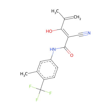 C=C(C)C(O)=C(C#N)C(=O)Nc1ccc(C(F)(F)F)c(C)c1